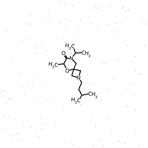 CC(C)CCN1CC2(C1)CN(C(C)C)C(=O)C(C)O2